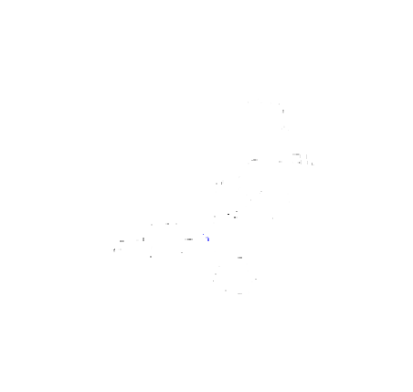 Cc1ccc(N(c2ccccc2)c2ccc(CC(C)(c3ccccc3)c3ccccc3)cc2)cc1